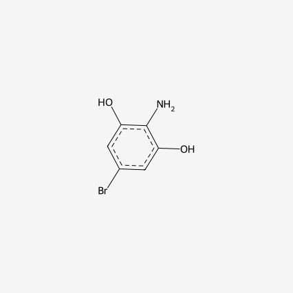 Nc1c(O)cc(Br)cc1O